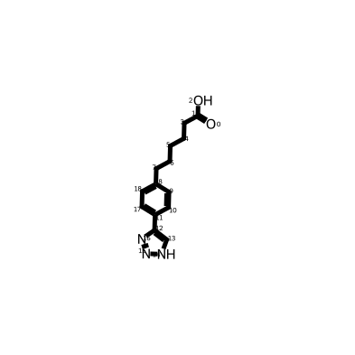 O=C(O)CCCCCc1ccc(-c2c[nH]nn2)cc1